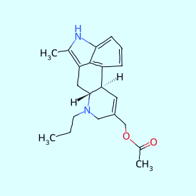 CCCN1CC(COC(C)=O)=C[C@@H]2c3cccc4[nH]c(C)c(c34)C[C@H]21